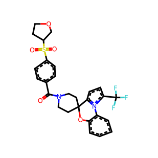 O=C(c1ccc(S(=O)(=O)C2CCOC2)cc1)N1CCC2(CC1)Oc1ccccc1-n1c(C(F)(F)F)ccc12